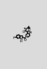 CN(C(=O)c1[nH]nc2c1CN(C(=O)C1Cc3ccc(F)cc3N1)CC2)C1CC1